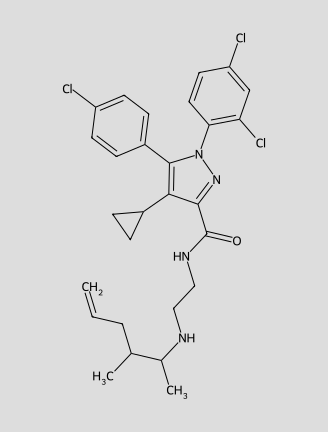 C=CCC(C)C(C)NCCNC(=O)c1nn(-c2ccc(Cl)cc2Cl)c(-c2ccc(Cl)cc2)c1C1CC1